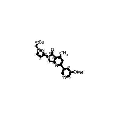 COc1cncc(-c2cc(C)c3c(n2)CN(c2ccn(CC(C)(C)C)n2)C3=O)c1